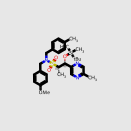 COc1ccc(CN(Cc2ccc(C)cc2)S(=O)(=O)[C@@H](C)[C@H](O[Si](C)(C)C(C)(C)C)c2cnc(C)cn2)cc1